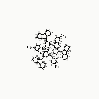 Cc1ccc2c(c1)Oc1c(-n3c4ccccc4c4ccccc43)cc3c4c1N2c1cc(-n2c5ccccc5c5ccccc52)cc2c1P4(=O)c1c4c(oc5cc(C)ccc5n4-2)c(-n2c4ccccc4c4ccccc42)c2oc4cc(C)ccc4n-3c12